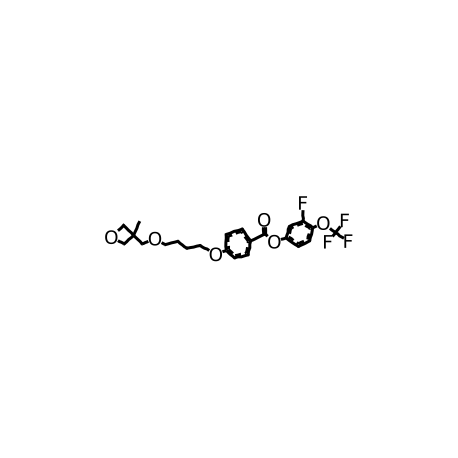 CC1(COCCCCOc2ccc(C(=O)Oc3ccc(OC(F)(F)F)c(F)c3)cc2)COC1